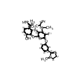 CC(C)C(C(=O)O)N(C)c1c(F)c(Oc2cccc(C3=NCCN3C)c2)nc(Oc2cc(C(=N)N)ccc2O)c1F